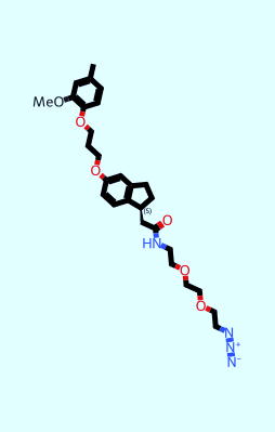 COc1cc(C)ccc1OCCCOc1ccc2c(c1)CC[C@H]2CC(=O)NCCOCCOCCN=[N+]=[N-]